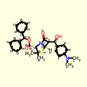 CN(C)c1ccc(C(O)C2C(=O)N3[C@@H]2SC(C)(C)[C@@H]3C(=O)OC(c2ccccc2)c2ccccc2)cc1